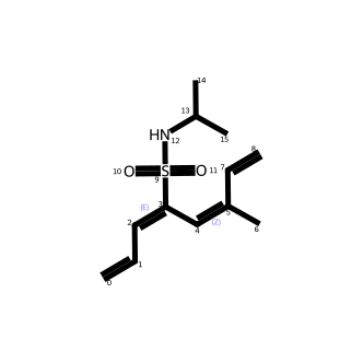 C=C/C=C(\C=C(\C)C=C)S(=O)(=O)NC(C)C